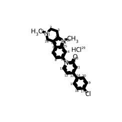 CN1CCc2c(c3ccc(-n4ccc(-c5ccc(Cl)cc5)cc4=O)cc3n2C)C1.Cl